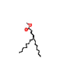 CCCCCCCC(=C/C=C/C(=O)OC)CCCCCCC